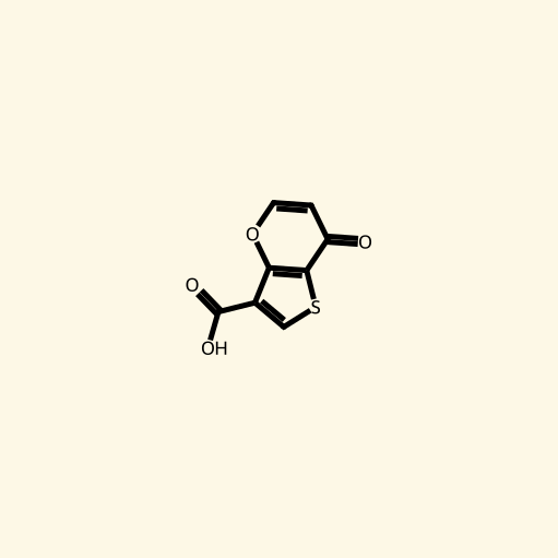 O=C(O)c1csc2c(=O)ccoc12